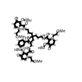 CCCCOc1c(C(=O)NCCCC(CCCNC(=O)c2c(OCCCC)c(=O)ccn2CCOC)(CCCNC(=O)c2c(OCCCC)c(=O)ccn2CCOC)NC(=O)c2ccccc2)n(CCOC)ccc1=O